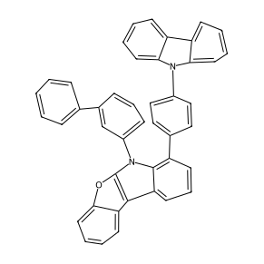 c1ccc(-c2cccc(-n3c4oc5ccccc5c4c4cccc(-c5ccc(-n6c7ccccc7c7ccccc76)cc5)c43)c2)cc1